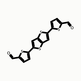 O=Cc1ccc(-c2cc3sc(-c4ccc(C=O)s4)cc3s2)s1